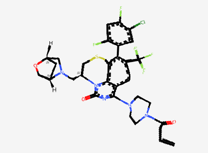 C=CC(=O)N1CCN(c2nc(=O)n3c4c(c(-c5cc(Cl)c(F)cc5F)c(C(F)(F)F)cc24)SC[C@@H]3CN2C[C@@H]3C[C@H]2CO3)CC1